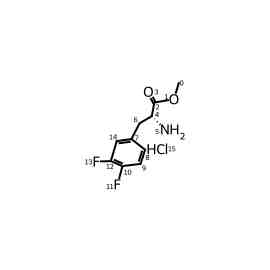 COC(=O)[C@H](N)Cc1ccc(F)c(F)c1.Cl